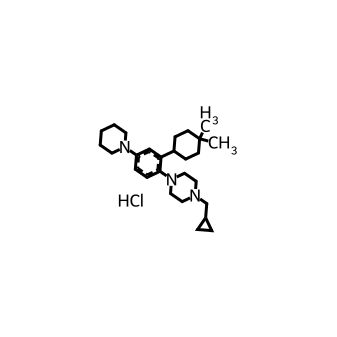 CC1(C)CCC(c2cc(N3CCCCC3)ccc2N2CCN(CC3CC3)CC2)CC1.Cl